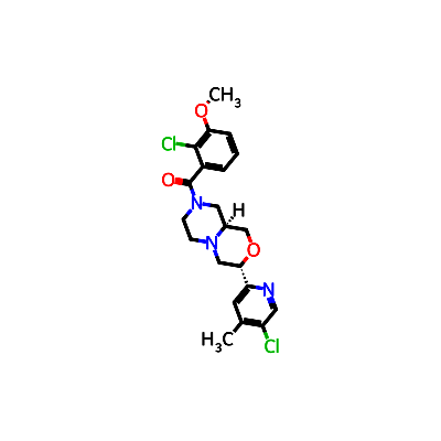 COc1cccc(C(=O)N2CCN3C[C@@H](c4cc(C)c(Cl)cn4)OC[C@@H]3C2)c1Cl